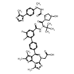 Cc1ncsc1-c1ccc([C@H](C)NC(=O)[C@@H]2C[C@@H](O)CN2C(=O)[C@@H](NC(=O)c2cc(F)c(F)c(-c3ccc(C4=N[C@@H](CC(=O)O)c5nnc(C)n5-c5sc(C)c(C)c54)cc3)c2)C(C)(C)C)cc1